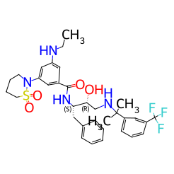 CCNc1cc(C(=O)N[C@@H](Cc2ccccc2)[C@H](O)CNC(C)(C)c2cccc(C(F)(F)F)c2)cc(N2CCCCS2(=O)=O)c1